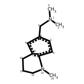 CN(C)Cc1ccc2c(c1)CCCN2C